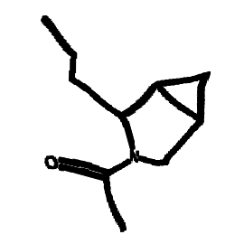 CCCC1C2CC2CN1C(C)=O